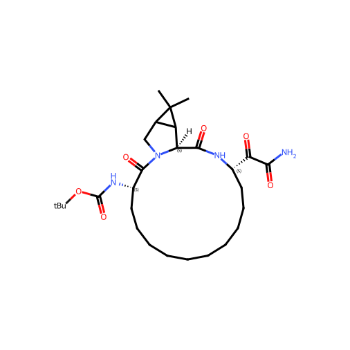 CC(C)(C)OC(=O)N[C@H]1CCCCCCCCCC[C@@H](C(=O)C(N)=O)NC(=O)[C@@H]2C3C(CN2C1=O)C3(C)C